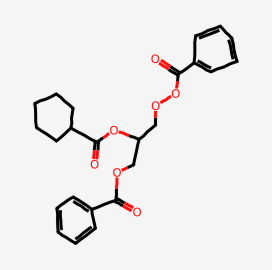 O=C(OCC(COOC(=O)c1ccccc1)OC(=O)C1CCCCC1)c1ccccc1